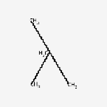 CCCCCCCCCCCCCCCCCCCCCCC[C](CCCCCCCCCCCCCCCCCCCCCCC)C(C)CCCCCCCCCCCCCCCCCCCCC